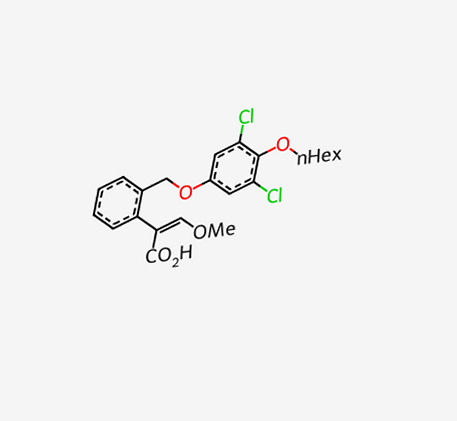 CCCCCCOc1c(Cl)cc(OCc2ccccc2C(=COC)C(=O)O)cc1Cl